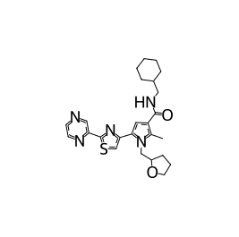 Cc1c(C(=O)NCC2CCCCC2)cc(-c2csc(-c3cnccn3)n2)n1CC1CCCO1